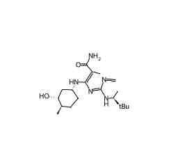 C=N/C(=N\C(N[C@@H]1CC[C@@H](C)[C@H](O)C1)=C(/C)C(N)=O)N[C@@H](C)C(C)(C)C